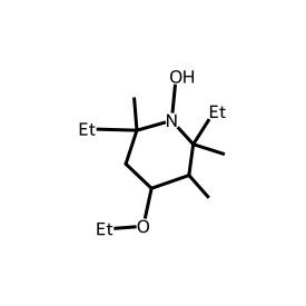 CCOC1CC(C)(CC)N(O)C(C)(CC)C1C